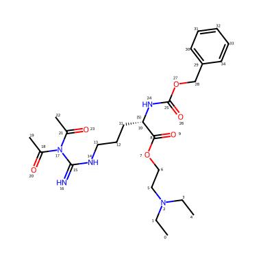 CCN(CC)CCOC(=O)[C@H](CCCNC(=N)N(C(C)=O)C(C)=O)NC(=O)OCc1ccccc1